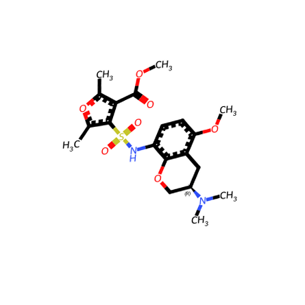 COC(=O)c1c(C)oc(C)c1S(=O)(=O)Nc1ccc(OC)c2c1OC[C@H](N(C)C)C2